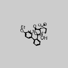 CCOc1ccc(-c2ccccc2C(=O)[N@@+]2(O)CCS(=O)(=O)C2C(N)=O)cc1